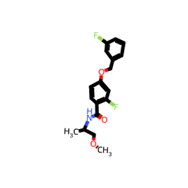 COCC(C)NC(=O)c1ccc(OCc2cccc(F)c2)cc1F